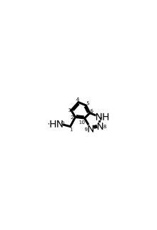 [NH]Cc1cccc2[nH]nnc12